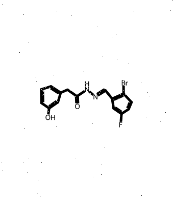 O=C(Cc1cccc(O)c1)N/N=C/c1cc(F)ccc1Br